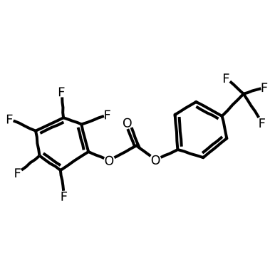 O=C(Oc1ccc(C(F)(F)F)cc1)Oc1c(F)c(F)c(F)c(F)c1F